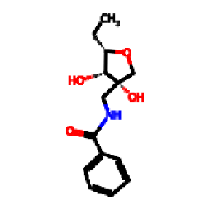 CC[C@@H]1OC[C@@](O)(CNC(=O)c2ccccc2)[C@@H]1O